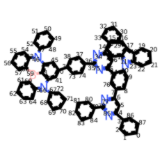 c1ccc(-c2cc(-c3ccc(-n4c5ccccc5c5ccccc54)c(-c4cc(-c5ccccc5)nc(-c5ccc(-c6cc7c8c(c6)N(c6ccccc6)c6ccccc6B8c6ccccc6N7c6ccccc6)cc5)n4)c3)nc(-c3ccccc3)n2)cc1